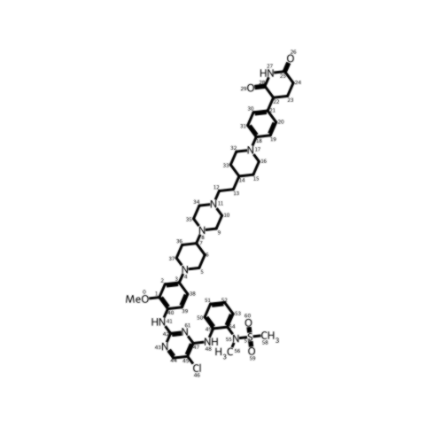 COc1cc(N2CCC(N3CCN(CCC4CCN(c5ccc(C6CCC(=O)NC6=O)cc5)CC4)CC3)CC2)ccc1Nc1ncc(Cl)c(Nc2ccccc2N(C)S(C)(=O)=O)n1